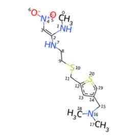 CNC(=C[N+](=O)[O-])NCCSCc1cc(CN(C)C)cs1